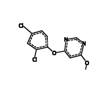 COc1cc(Oc2ccc(Cl)cc2Cl)ncn1